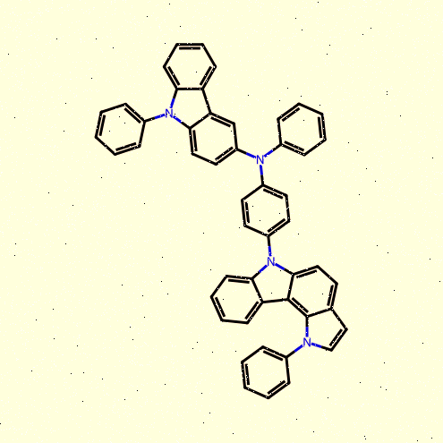 c1ccc(N(c2ccc(-n3c4ccccc4c4c5c(ccc43)ccn5-c3ccccc3)cc2)c2ccc3c(c2)c2ccccc2n3-c2ccccc2)cc1